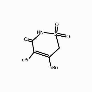 CCCCC1=C(CCC)C(=O)NS(=O)(=O)C1